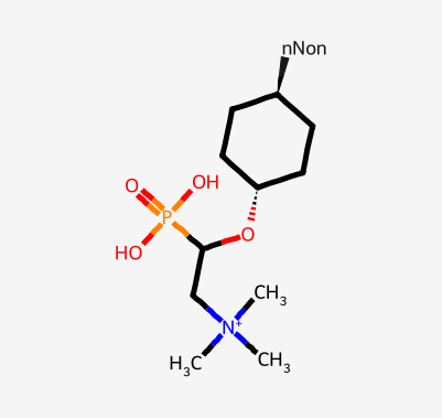 CCCCCCCCC[C@H]1CC[C@H](OC(C[N+](C)(C)C)P(=O)(O)O)CC1